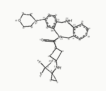 O=C(C1CC(NC2(C(F)(F)F)CC2)C1)N1Cc2cccnc2Nc2ccc(N3CCOCC3)cc21